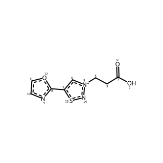 O=C(O)CC[n+]1cc(-c2ncco2)sn1